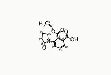 C=COC(=O)c1c(C(=O)O)cccc1N1CCCC1=O